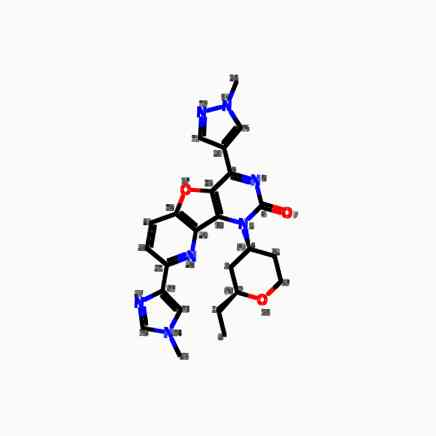 CC[C@H]1C[C@@H](n2c(=O)nc(-c3cnn(C)c3)c3oc4ccc(-c5cn(C)cn5)nc4c32)CCO1